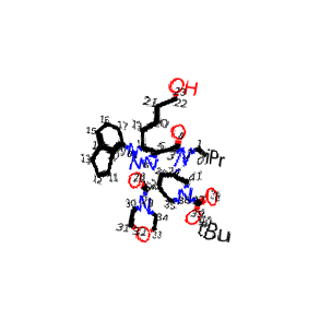 CC(C)CN(C(=O)c1nnn(C2=C3CCCC3=CCC2)c1CCCCO)[C@H]1C[C@@H](C(=O)N2CCOCC2)CN(C(=O)OC(C)(C)C)C1